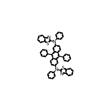 c1ccc(-c2c3ccc(N(c4ccccc4)c4nc5ccccc5s4)cc3c(-c3ccccc3)c3ccc(N(c4ccccc4)c4nc5ccccc5s4)cc23)cc1